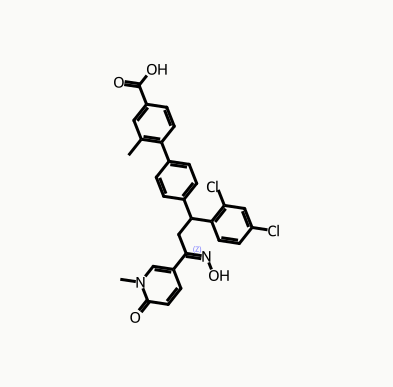 Cc1cc(C(=O)O)ccc1-c1ccc(C(C/C(=N/O)c2ccc(=O)n(C)c2)c2ccc(Cl)cc2Cl)cc1